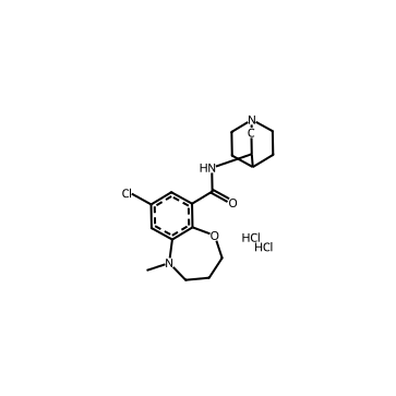 CN1CCCOc2c(C(=O)NC3CN4CCC3CC4)cc(Cl)cc21.Cl.Cl